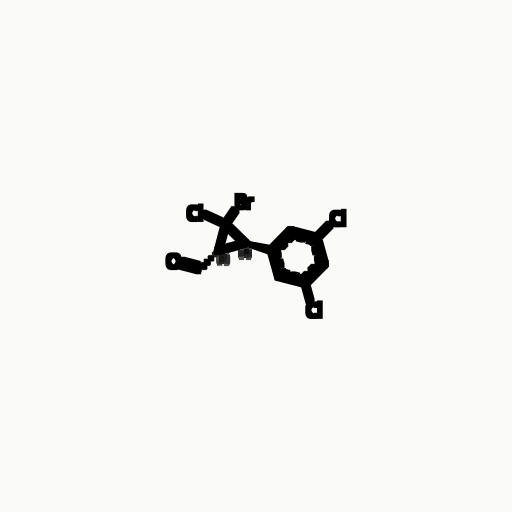 O=C[C@H]1[C@H](c2cc(Cl)cc(Cl)c2)C1(Cl)Br